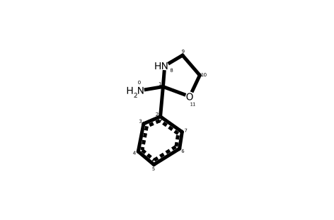 NC1(c2ccccc2)NCCO1